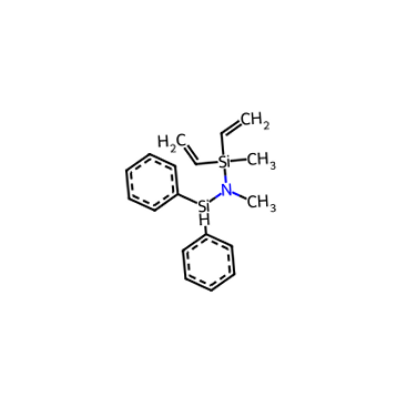 C=C[Si](C)(C=C)N(C)[SiH](c1ccccc1)c1ccccc1